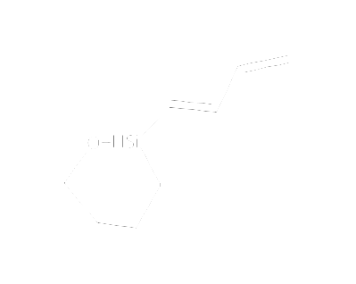 C=CC=C[SiH]1CCCCO1